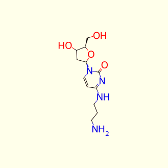 NCCCNc1ccn([C@H]2CC(O)[C@@H](CO)O2)c(=O)n1